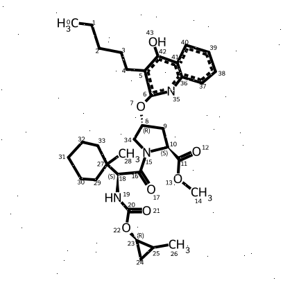 CCCCCc1c(O[C@@H]2C[C@@H](C(=O)OC)N(C(=O)[C@@H](NC(=O)O[C@@H]3CC3C)C3(C)CCCCC3)C2)nc2ccccc2c1O